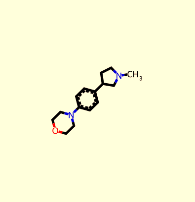 CN1CCC(c2ccc(N3CCOCC3)cc2)C1